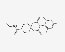 CCNC(=O)N1CCC2(CC1)CC(=O)C(C1=C(C)C=C(C)CC1C)C(=O)C2